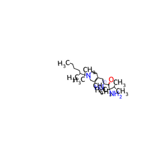 CCCCC(C)C(C)(C)N1C=CC(/C=C(\NC)C(=O)C(C)(N)C(C)C)=C(C)C1